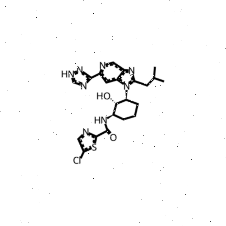 CC(C)Cc1nc2cnc(-c3nc[nH]n3)cc2n1[C@H]1CCC[C@@H](NC(=O)c2ncc(Cl)s2)[C@@H]1O